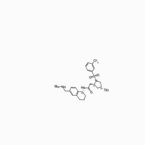 CC(C)(C)NCc1ccc2c(c1)CCC[C@H]2NC(=O)C[C@@H]1C[C@@H](O)CN1S(=O)(=O)c1cccc(C(F)(F)F)c1